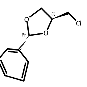 ClC[C@@H]1CO[C@@H](c2ccccc2)O1